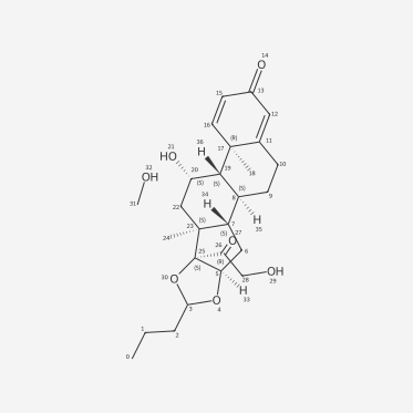 CCCC1O[C@@H]2C[C@H]3[C@@H]4CCC5=CC(=O)C=C[C@]5(C)[C@H]4[C@@H](O)C[C@]3(C)[C@]2(C(=O)CO)O1.CO